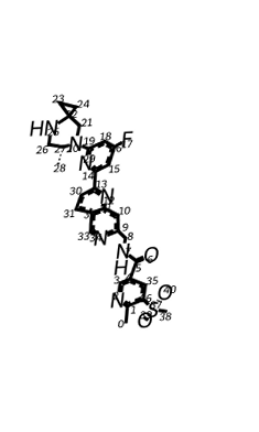 Cc1ncc(C(=O)NCc2cc3nc(-c4cc(F)cc(N5CC6(CC6)NC[C@H]5C)n4)ccc3cn2)cc1S(C)(=O)=O